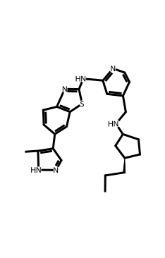 CCC[C@@H]1CCC(NCc2ccnc(Nc3nc4ccc(-c5cn[nH]c5C)cc4s3)c2)C1